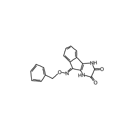 O=c1[nH]c2c([nH]c1=O)-c1ccccc1C2=NOCc1ccccc1